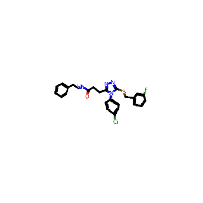 O=C(CCc1nnc(SCc2cccc(F)c2)n1-c1ccc(Cl)cc1)NCCc1ccccc1